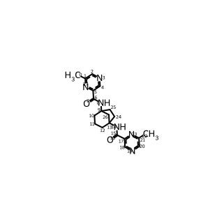 Cc1cncc(C(=O)NC23CCCC(NC(=O)c4cncc(C)n4)(CC2)C3)n1